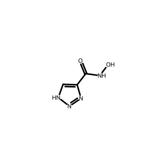 O=C(NO)c1c[nH]nn1